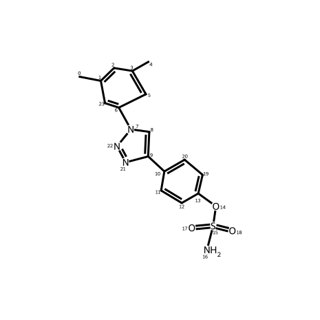 Cc1cc(C)cc(-n2cc(-c3ccc(OS(N)(=O)=O)cc3)nn2)c1